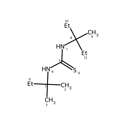 CCC(C)(C)NC(=S)NC(C)(CC)CC